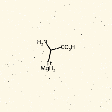 CCC(N)C(=O)O.[MgH2]